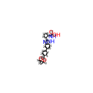 CC1(C)OB(c2ccc(-c3ccc4[nH]c([C@H]5CCC[C@@H]5NC(=O)O)nc4c3)cc2)OC1(C)C